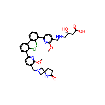 COc1nc(-c2cccc(-c3cccc(-c4ccc(CN5CC6(CCC(=O)N6)C5)c(OC)n4)c3Cl)c2Cl)ccc1CNC[C@@H](O)CC(=O)O